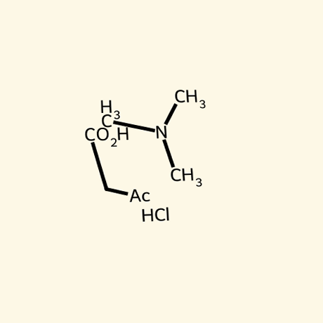 CC(=O)CC(=O)O.CN(C)C.Cl